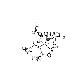 CCC1C(C)OC2OC(C)C(C)[C@@]21COC=O